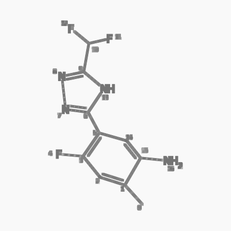 Cc1cc(F)c(-c2nnc(C(F)F)[nH]2)cc1N